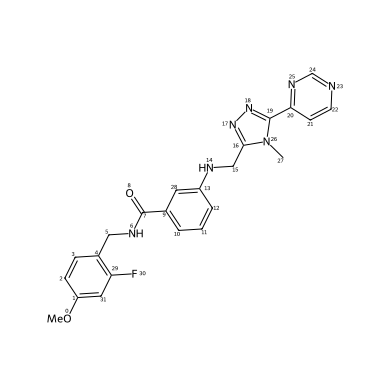 COc1ccc(CNC(=O)c2cccc(NCc3nnc(-c4ccncn4)n3C)c2)c(F)c1